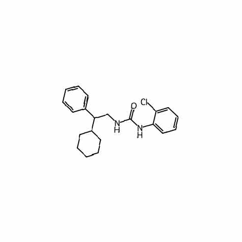 O=C(NCC(c1ccccc1)C1CCCCC1)Nc1ccccc1Cl